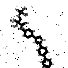 C[C@](N)(COP(=O)(O)O)C(=O)Nc1ccc(-c2csc(-c3ccc(-c4ccccc4)cc3)n2)cc1